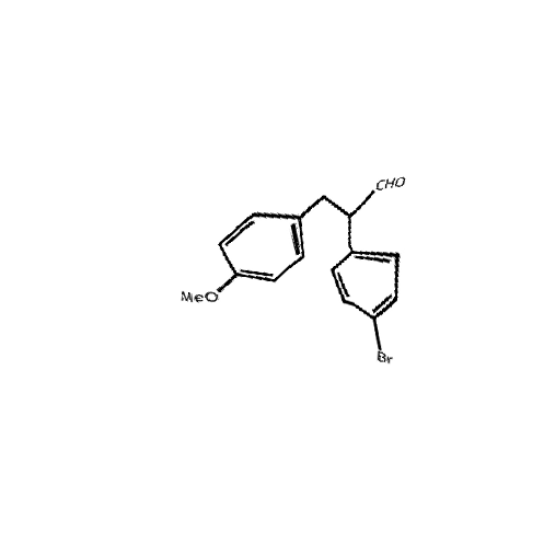 COc1ccc(CC(C=O)c2ccc(Br)cc2)cc1